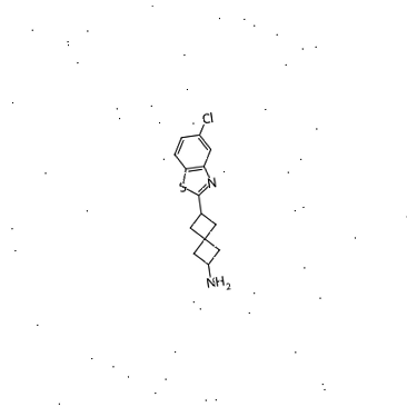 NC1CC2(C1)CC(c1nc3cc(Cl)ccc3s1)C2